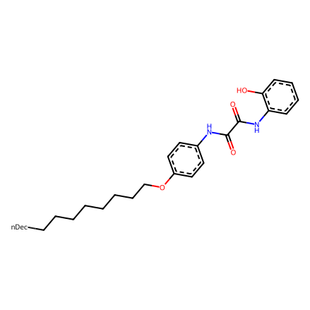 CCCCCCCCCCCCCCCCCCOc1ccc(NC(=O)C(=O)Nc2ccccc2O)cc1